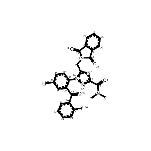 CN(C)C(=O)c1nc(CN2C(=O)c3ccccc3C2=O)n(-c2ccc(Cl)cc2C(=O)c2ccccc2F)n1